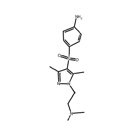 Cc1nn(CCN(C)C)c(C)c1S(=O)(=O)c1ccc(N)cc1